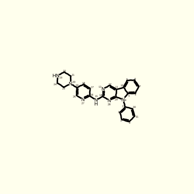 c1ccc(-n2c3ccccc3c3cnc(Nc4ccc(N5CCNCC5)cn4)nc32)cc1